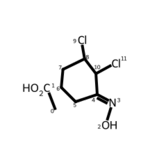 CC(=O)O.ON=C1CCCC(Cl)C1Cl